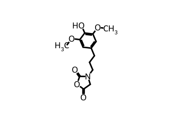 COc1cc(CCCN2CC(=O)OC2=O)cc(OC)c1O